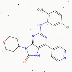 O=c1[nH]c2c(-c3ccncc3)nc(Nc3cc(Cl)ccc3[N+](=O)[O-])nc2n1C1CCOCC1